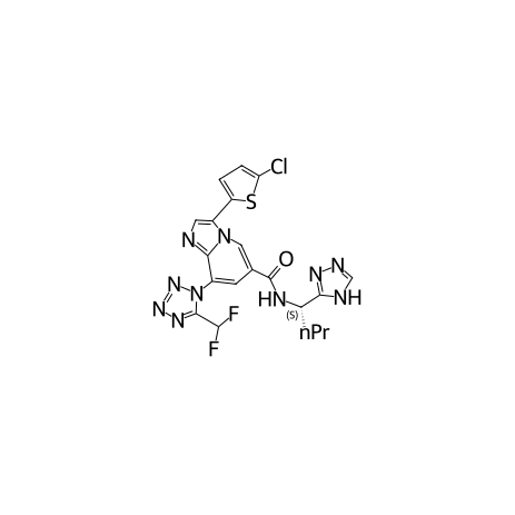 CCC[C@H](NC(=O)c1cc(-n2nnnc2C(F)F)c2ncc(-c3ccc(Cl)s3)n2c1)c1nnc[nH]1